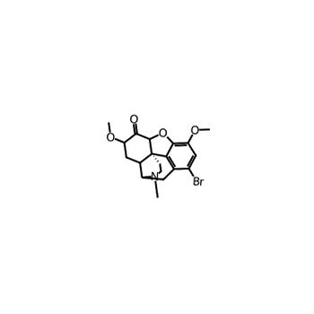 COc1cc(Br)c2c3c1OC1C(=O)C(OC)CC4C(C2)N(C)CC[C@@]314